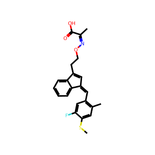 CSc1cc(C)c(/C=C2/C=C(CCON=C(C)C(=O)O)c3ccccc32)cc1F